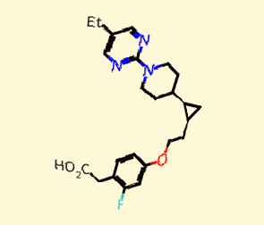 CCc1cnc(N2CCC([C@H]3C[C@H]3CCOc3ccc(CC(=O)O)c(F)c3)CC2)nc1